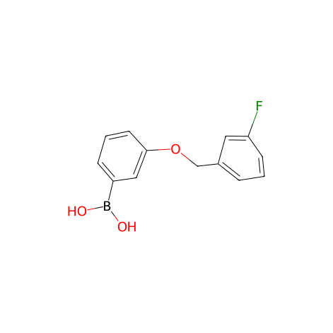 OB(O)c1cccc(OCc2cccc(F)c2)c1